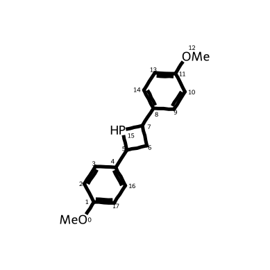 COc1ccc(C2CC(c3ccc(OC)cc3)P2)cc1